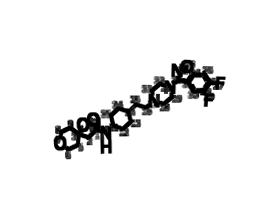 O=C(CC1(O)CCOCC1)N[C@H]1CC[C@H](CCN2CCN(c3noc4cc(F)c(F)cc34)CC2)CC1